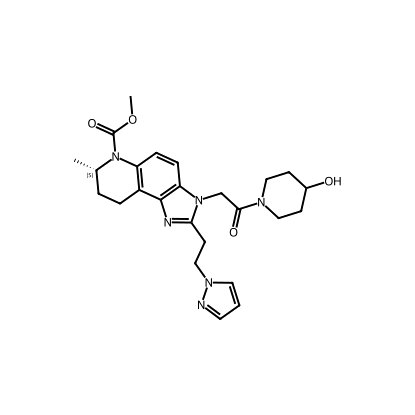 COC(=O)N1c2ccc3c(nc(CCn4cccn4)n3CC(=O)N3CCC(O)CC3)c2CC[C@@H]1C